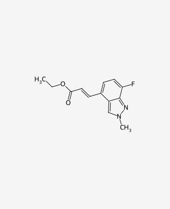 CCOC(=O)/C=C/c1ccc(F)c2nn(C)cc12